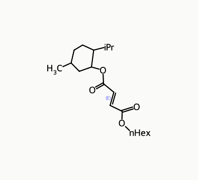 CCCCCCOC(=O)/C=C/C(=O)OC1CC(C)CCC1C(C)C